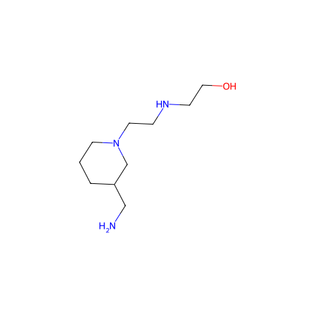 NCC1CCCN(CCNCCO)C1